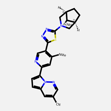 CNc1cc(-c2ccc3cc(C#N)cnn23)ncc1-c1nnc(N2C[C@H]3CC[C@@H](C2)C3NC(C)=O)s1